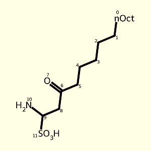 CCCCCCCCCCCCCC(=O)CC(N)S(=O)(=O)O